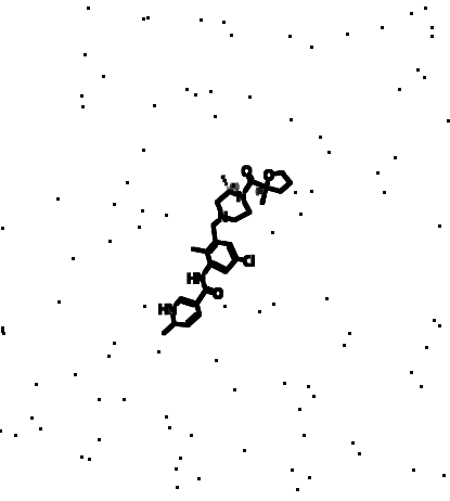 Cc1c(CN2CCN(C(=O)[C@@]3(C)CCCO3)[C@@H](C)C2)cc(Cl)cc1NC(=O)C1=CNC(C)C=C1